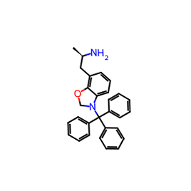 C[C@@H](N)Cc1cccc2c1OCN2C(c1ccccc1)(c1ccccc1)c1ccccc1